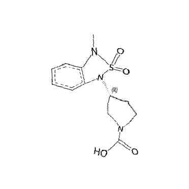 CN1c2ccccc2N([C@@H]2CCN(C(=O)O)C2)S1(=O)=O